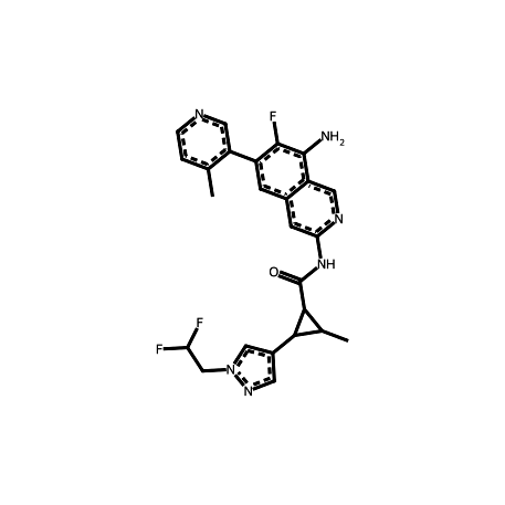 Cc1ccncc1-c1cc2cc(NC(=O)C3C(C)C3c3cnn(CC(F)F)c3)ncc2c(N)c1F